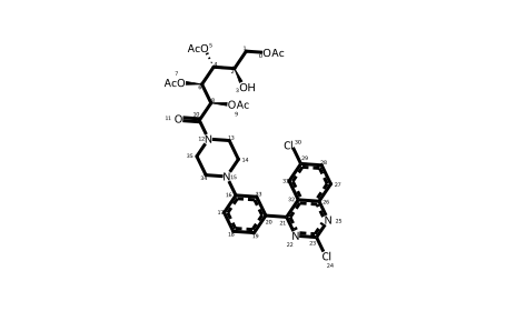 CC(=O)OC[C@@H](O)[C@@H](OC(C)=O)[C@H](OC(C)=O)[C@@H](OC(C)=O)C(=O)N1CCN(c2cccc(-c3nc(Cl)nc4ccc(Cl)cc34)c2)CC1